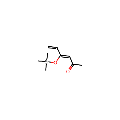 C=CC(=CC(C)=O)O[Si](C)(C)C